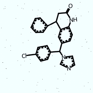 O=C1CC(c2ccccc2)c2cc(C(c3ccc(Cl)cc3)n3ccnc3)ccc2N1